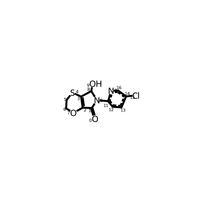 O=C1C2=C(SCCO2)C(O)N1c1ccc(Cl)cn1